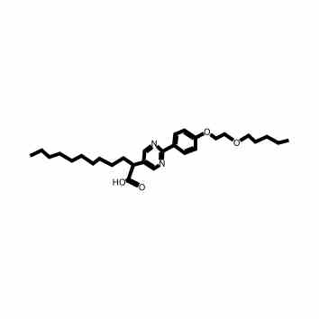 CCCCCCCCCCC(C(=O)O)c1cnc(-c2ccc(OCCOCCCCC)cc2)nc1